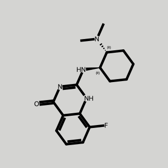 CN(C)[C@@H]1CCCC[C@H]1Nc1nc(=O)c2cccc(F)c2[nH]1